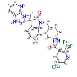 Nc1cccnc1N1CC2(C1)C(=O)N(CC1CCC(NC(=O)c3cc(Cl)cnc3C(F)F)CC1)c1cc(F)ccc12